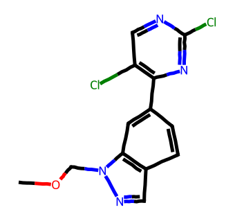 COCn1ncc2ccc(-c3nc(Cl)ncc3Cl)cc21